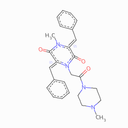 CN1CCN(C(=O)Cn2c(=O)/c(=C/c3ccccc3)n(C)c(=O)/c2=C/c2ccccc2)CC1